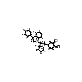 C[C@]1(C(=O)Nc2ccccc2C(=O)c2ccccc2)CCCN1Cc1ccc(Cl)c(Cl)c1